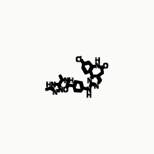 Cc1nnc(C(C)NC(=O)c2ccc(Nc3ncc4c(n3)-c3ccc(Cl)cc3NC(=O)C4)cc2)[nH]1